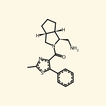 Cc1nc(C(=O)N2C[C@@H]3CCC[C@@H]3[C@H]2CN)c(-c2ccccc2)s1